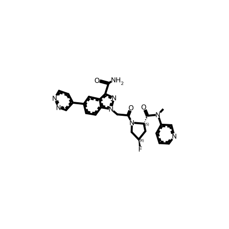 CN(C(=O)[C@@H]1C[C@@H](F)CN1C(=O)Cn1nc(C(N)=O)c2cc(-c3ccnnc3)ccc21)c1cccnc1